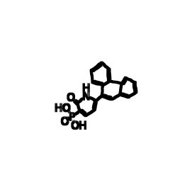 O=c1[nH]c(-c2cc3ccccc3c3ccccc23)ccc1P(=O)(O)O